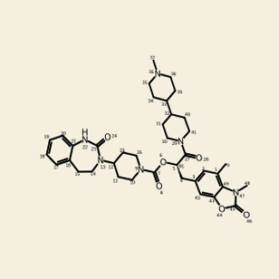 Cc1cc(C[C@@H](OC(=O)N2CCC(N3CCc4ccccc4NC3=O)CC2)C(=O)N2CCC(C3CCN(C)CC3)CC2)cc2oc(=O)n(C)c12